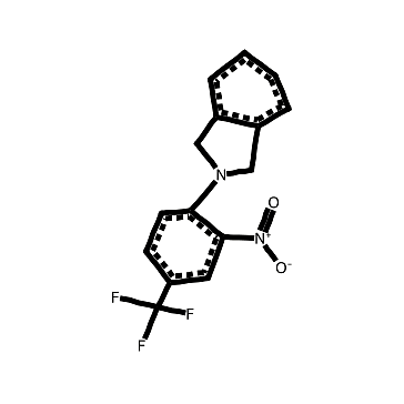 O=[N+]([O-])c1cc(C(F)(F)F)ccc1N1Cc2ccccc2C1